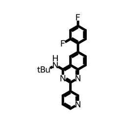 CC(C)(C)Nc1nc(-c2cccnc2)nc2ccc(-c3ccc(F)cc3F)cc12